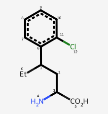 CCC(CC(N)C(=O)O)c1ccccc1Cl